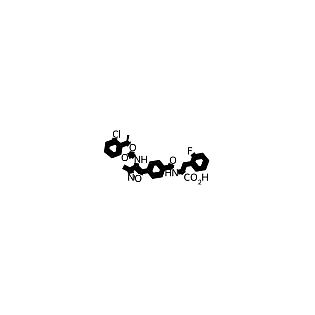 Cc1noc(-c2ccc(C(=O)NC(Cc3ccccc3F)C(=O)O)cc2)c1NC(=O)O[C@H](C)c1ccccc1Cl